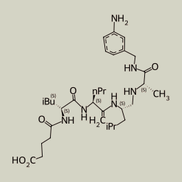 C=C(N[C@H](CN[C@@H](C)C(=O)NCc1cccc(N)c1)CC(C)C)[C@H](CCC)NC(=O)[C@@H](NC(=O)CCCC(=O)O)[C@@H](C)CC